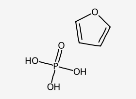 O=P(O)(O)O.c1ccoc1